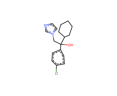 OC(Cn1ccnc1)(c1ccc(Cl)cc1)C1CCCCC1